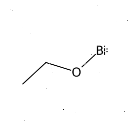 CC[O][Bi]